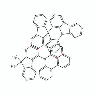 CC1(C)c2ccccc2-c2c(N(c3ccccc3-c3ccccc3)c3ccccc3-c3cccc4c3C3(c5ccccc5-4)c4ccccc4-n4c5ccccc5c5cccc3c54)cccc21